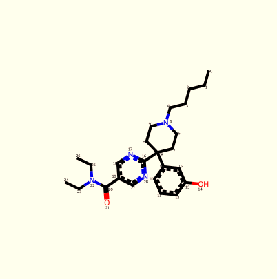 CCCCCN1CCC(c2cccc(O)c2)(c2ncc(C(=O)N(CC)CC)cn2)CC1